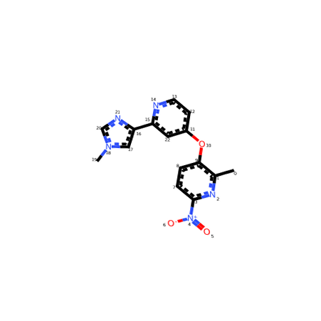 Cc1nc([N+](=O)[O-])ccc1Oc1ccnc(-c2cn(C)cn2)c1